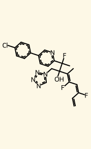 C=C/C(F)=C\C(F)=C(/C)C(O)(Cn1cnnn1)C(C)(F)c1ccc(-c2ccc(Cl)cc2)cn1